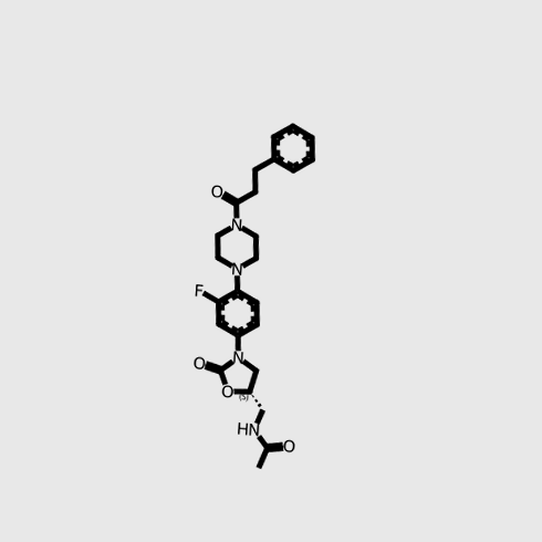 CC(=O)NC[C@H]1CN(c2ccc(N3CCN(C(=O)CCc4ccccc4)CC3)c(F)c2)C(=O)O1